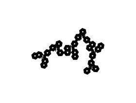 c1ccc(-n2c3ccccc3c3cc(-c4ccc(N(c5ccc6ccccc6c5)c5cccc6c(-c7ccc(-n8c9ccccc9c9ccc(-c%10ccc(N(c%11ccc%12ccccc%12c%11)c%11cccc%12c(-c%13cccc(-n%14c%15ccccc%15c%15ccc(-c%16ccc(N(c%17ccc%18ccccc%18c%17)c%17ccc%18ccccc%18c%17)cc%16)cc%15%14)c%13)cccc%11%12)cc%10)cc98)cc7)cccc56)cc4)ccc32)cc1